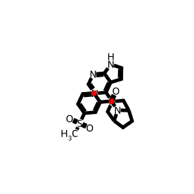 CS(=O)(=O)c1cccc(C(=O)N2C3CCC2CN(c2ncnc4[nH]ccc24)C3)c1